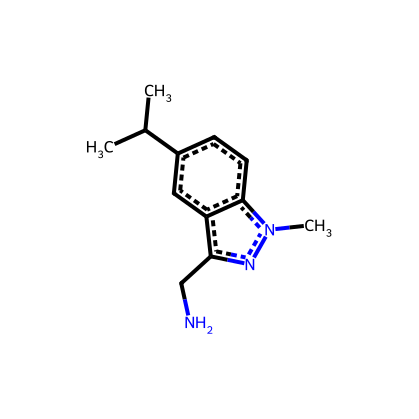 CC(C)c1ccc2c(c1)c(CN)nn2C